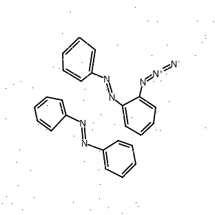 [N-]=[N+]=Nc1ccccc1N=Nc1ccccc1.c1ccc(N=Nc2ccccc2)cc1